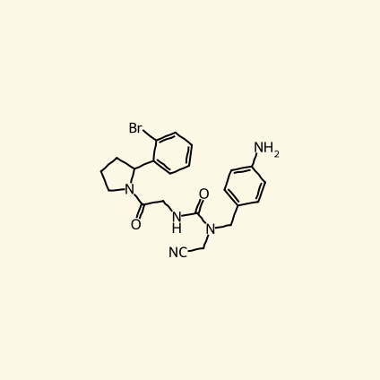 N#CCN(Cc1ccc(N)cc1)C(=O)NCC(=O)N1CCCC1c1ccccc1Br